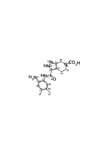 Cc1cc(N)c(NC(=O)c2[nH]nc3c2CCN(C(=O)O)C3)cc1C